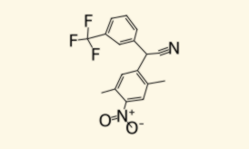 Cc1cc([N+](=O)[O-])c(C)cc1C(C#N)c1cccc(C(F)(F)F)c1